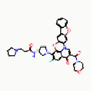 O=C(CCN1CCCC1)N[C@@H]1CCN(c2c(F)cc3c(=O)c(C(=O)N4CCOCC4)cn4c3c2Oc2cc3c(cc2-4)oc2ccccc23)C1